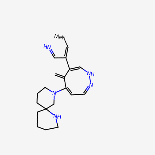 C=C1C(/C(C=N)=C/NC)=C\N/N=C\C=C/1N1CCCC2(CCCCN2)C1